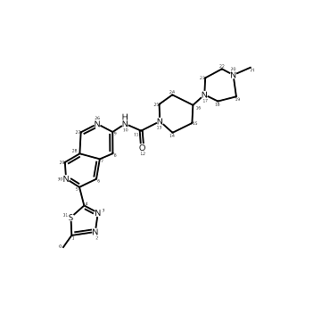 Cc1nnc(-c2cc3cc(NC(=O)N4CCC(N5CCN(C)CC5)CC4)ncc3cn2)s1